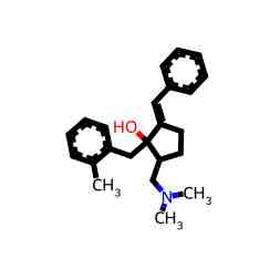 Cc1ccccc1CC1(O)C(=Cc2ccccc2)CCC1CN(C)C